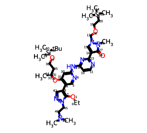 CCOc1c(-c2cnc(Nc3ccnc(-c4cn(COCC[Si](C)(C)C)n(C)c4=O)n3)cc2O[C@@H](C)CCO[Si](C)(C)C(C)(C)C)cnn1CCN(C)C